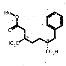 CC(C)(C)OC(=O)C[C@@H](CC[C@H](Cc1ccccc1)C(=O)O)C(=O)O